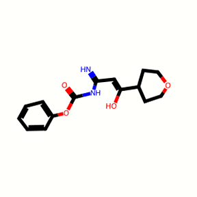 N=C(/C=C(\O)C1CCOCC1)NC(=O)Oc1ccccc1